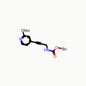 COc1cc(C#CCNC(=O)OC(C)(C)C)ccn1